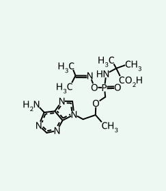 CC(C)=NOP(=O)(COC(C)Cn1cnc2c(N)ncnc21)NC(C)(C)C(=O)O